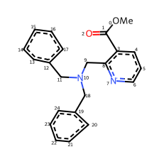 COC(=O)c1cccnc1CN(Cc1ccccc1)Cc1ccccc1